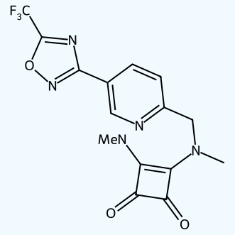 CNc1c(N(C)Cc2ccc(-c3noc(C(F)(F)F)n3)cn2)c(=O)c1=O